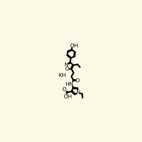 CCc1c(-c2ccc(O)cc2)noc1CCC(=O)Nc1cn(CC)cc1C(=O)O.[KH]